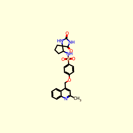 Cc1cc(COc2ccc(S(=O)(=O)NC3CCCC34NC(=O)NC4=O)cc2)c2ccccc2n1